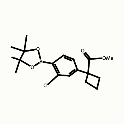 COC(=O)C1(c2ccc(B3OC(C)(C)C(C)(C)O3)c(Cl)c2)CCC1